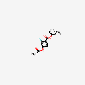 CCC(CC)OC(=O)c1ccc(OC(C)=O)cc1F